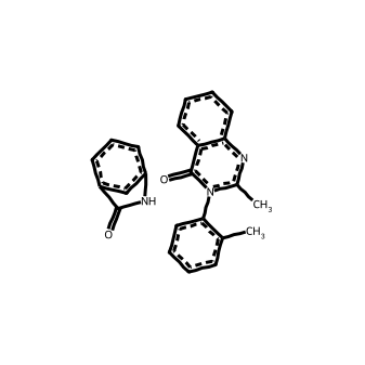 Cc1ccccc1-n1c(C)nc2ccccc2c1=O.O=C1Nc2cccc1c2